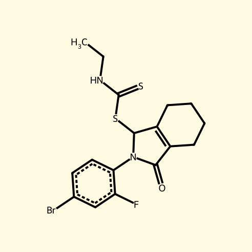 CCNC(=S)SC1C2=C(CCCC2)C(=O)N1c1ccc(Br)cc1F